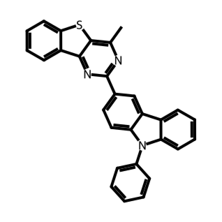 Cc1nc(-c2ccc3c(c2)c2ccccc2n3-c2ccccc2)nc2c1sc1ccccc12